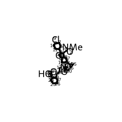 CNC(=O)c1c(-c2ccc(Cl)cc2)oc2cc(N(CCC3OB(O)c4ccccc43)S(C)(=O)=O)c(C3CC3)cc12